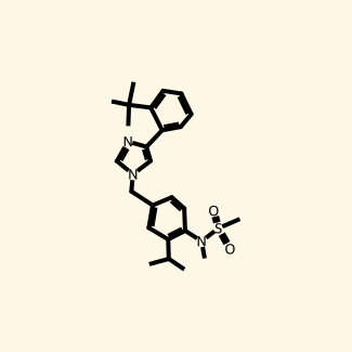 CC(C)c1cc(Cn2cnc(-c3ccccc3C(C)(C)C)c2)ccc1N(C)S(C)(=O)=O